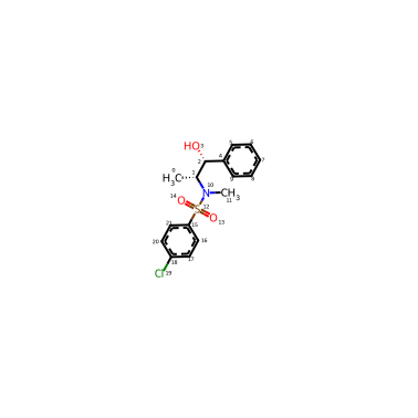 C[C@H]([C@H](O)c1ccccc1)N(C)S(=O)(=O)c1ccc(Cl)cc1